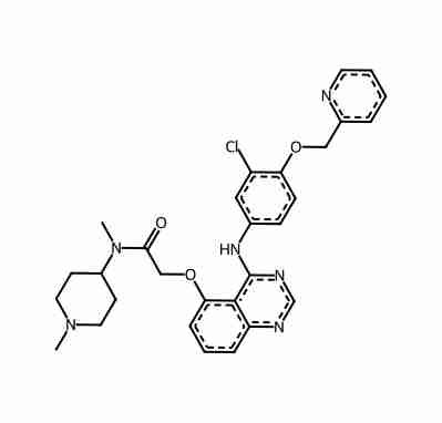 CN1CCC(N(C)C(=O)COc2cccc3ncnc(Nc4ccc(OCc5ccccn5)c(Cl)c4)c23)CC1